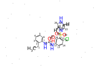 CCc1ccccc1NC(=O)Nc1ccc(Cl)c(S(=O)(=O)N2C[C@@H]3C[C@H]2CN3)c1O